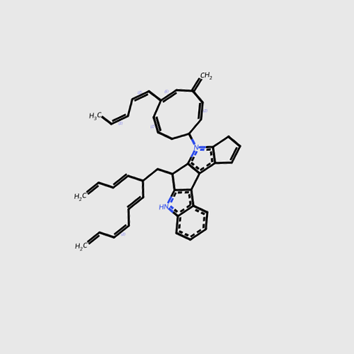 C=CC=CC(C=C/C=C\C=C)CC1c2[nH]c3ccccc3c2-c2c3c(n(C4/C=C\C(=C)/C=C(/C=C\C=C/C)\C=C/C4)c21)CC=C3